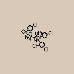 CCCc1c(-c2nnc(C3(c4ccc(Cl)cc4)CCC3)o2)nc(-c2ccc(Cl)cc2Cl)n1-c1ccc(Cl)cc1